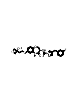 CN1C(=O)[C@@H](NC(=O)n2cc(Cc3cccc(F)c3)cn2)COc2ccc(OCCC3(O)COC3)cc21